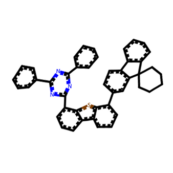 c1ccc(-c2nc(-c3ccccc3)nc(-c3cccc4c3sc3c(-c5ccc6c(c5)C5(CCCCC5)c5ccccc5-6)cccc34)n2)cc1